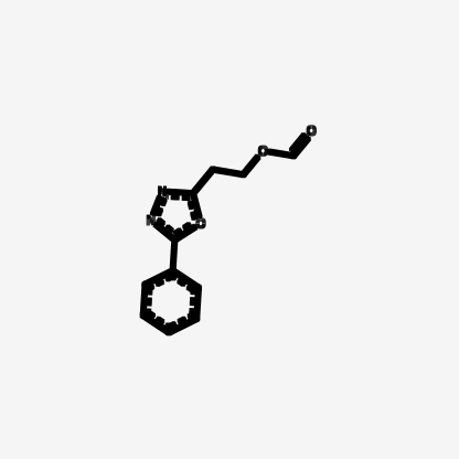 O=COCCc1nnc(-c2ccccc2)o1